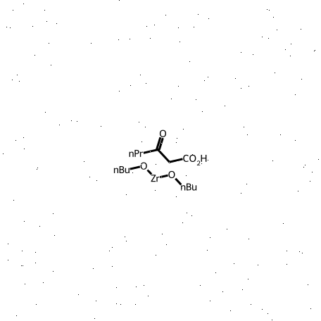 CCCC(=O)CC(=O)O.CCCC[O][Zr][O]CCCC